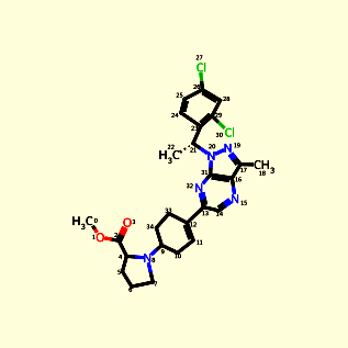 COC(=O)C1CCCN1C1CC=C(c2cnc3c(C)nn([C@H](C)c4ccc(Cl)cc4Cl)c3n2)CC1